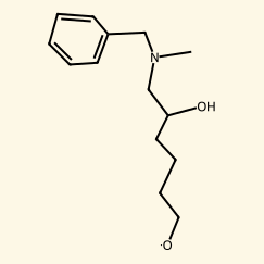 CN(Cc1ccccc1)CC(O)CCCC[O]